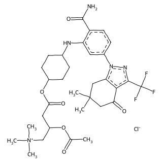 CC(=O)OC(CC(=O)OC1CCC(Nc2cc(-n3nc(C(F)(F)F)c4c3CC(C)(C)CC4=O)ccc2C(N)=O)CC1)C[N+](C)(C)C.[Cl-]